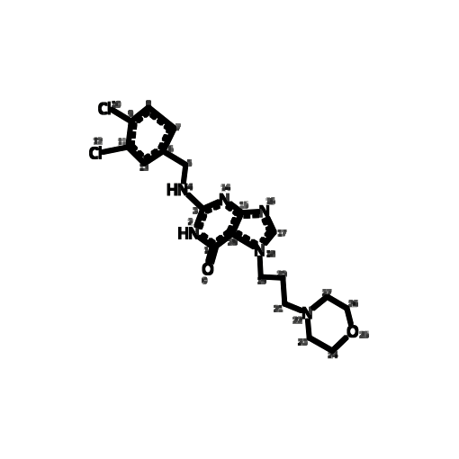 O=c1[nH]c(NCc2ccc(Cl)c(Cl)c2)nc2ncn(CCCN3CCOCC3)c12